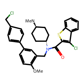 CN[C@H]1CC[C@H](N(Cc2cc(-c3ccc(CCl)cc3)ccc2OC)C(=O)c2sc3ccccc3c2Cl)CC1